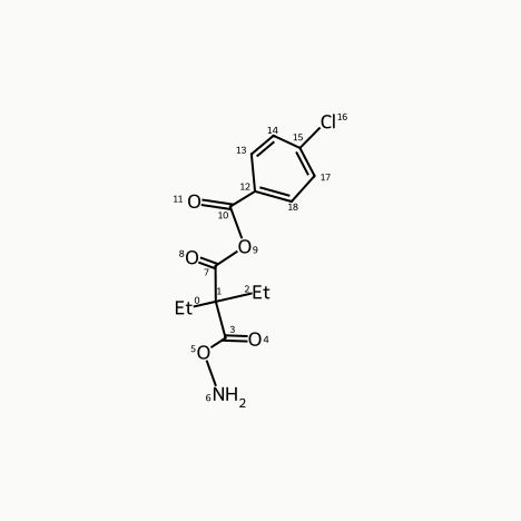 CCC(CC)(C(=O)ON)C(=O)OC(=O)c1ccc(Cl)cc1